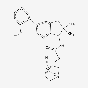 CCOc1ccccc1-c1ccc2c(c1)CC(C)(C)C2NC(=O)O[C@H]1CN2CCC1CC2